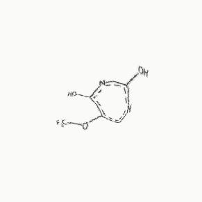 Oc1ncc(OC(F)(F)F)c(O)n1